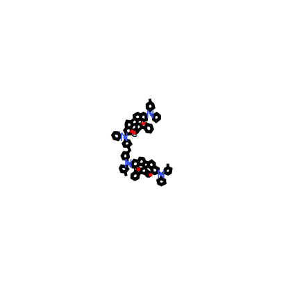 Cc1ccc(N(c2ccccc2)c2ccc3c4c(ccc3c2)-c2ccc3cc(N(c5ccccc5)c5ccc(Cc6cccc(N(c7cccc(C)c7)c7ccc8c9c(ccc8c7)-c7ccc8cc(N(c%10ccccc%10)c%10cccc(C)c%10)ccc8c7C97c8ccccc8-c8c7ccc7ccccc87)c6)cc5)ccc3c2C42c3ccccc3-c3c2ccc2ccccc32)cc1